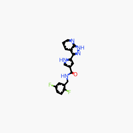 O=C(NCc1cc(F)ccc1F)c1c[nH]c(-c2n[nH]c3ncccc23)c1